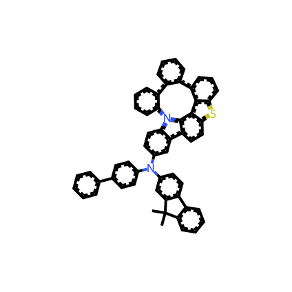 CC1(C)c2ccccc2-c2ccc(N(c3ccc(-c4ccccc4)cc3)c3ccc4c(c3)c3ccc5sc6cccc7c8ccccc8c8ccccc8n4c3c5c67)cc21